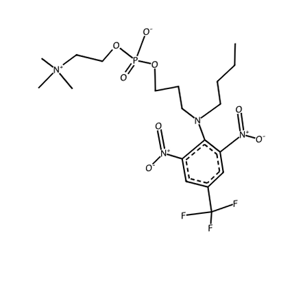 CCCCN(CCCOP(=O)([O-])OCC[N+](C)(C)C)c1c([N+](=O)[O-])cc(C(F)(F)F)cc1[N+](=O)[O-]